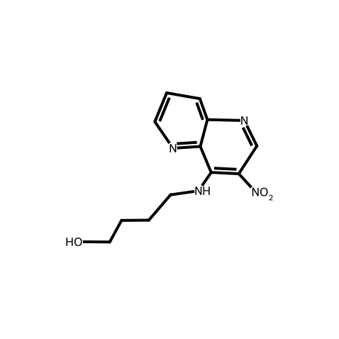 O=[N+]([O-])c1cnc2cccnc2c1NCCCCO